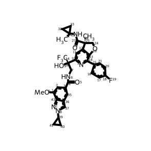 COc1cc(C(=O)NC[C@](O)(c2cc3c(c(-c4ccc(F)cc4)n2)OC[C@]3(C)C(=O)NC2(C)CC2)C(F)(F)F)cc2cn(C3CC3)nc12